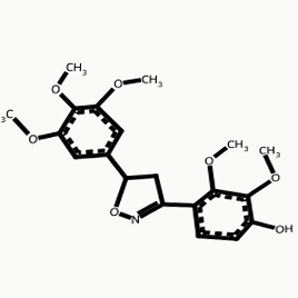 COc1cc(C2CC(c3ccc(O)c(OC)c3OC)=NO2)cc(OC)c1OC